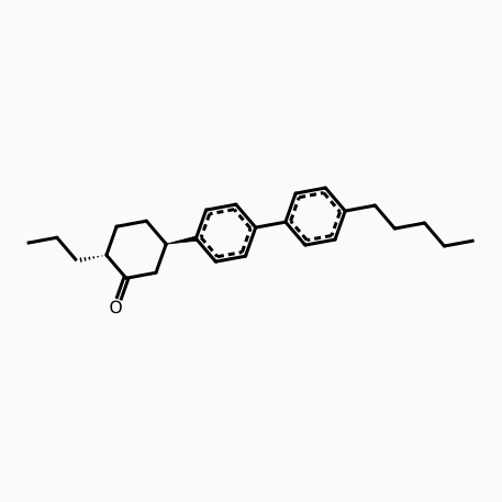 CCCCCc1ccc(-c2ccc([C@@H]3CC[C@@H](CCC)C(=O)C3)cc2)cc1